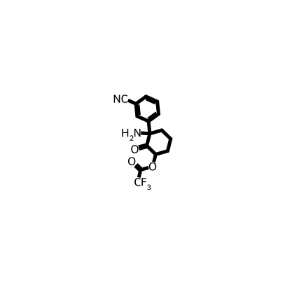 N#Cc1cccc(C2(N)CCCC(OC(=O)C(F)(F)F)C2=O)c1